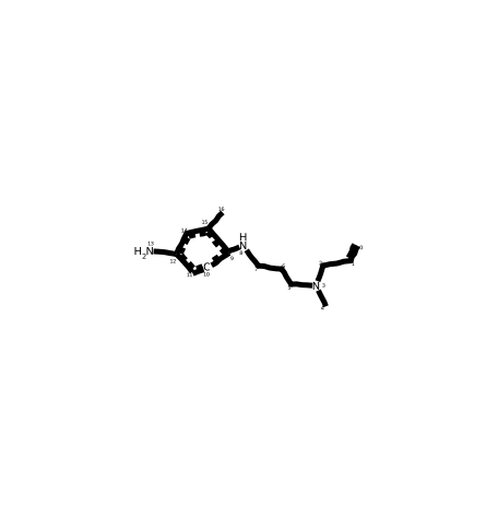 C=CCN(C)CCCNc1ccc(N)cc1C